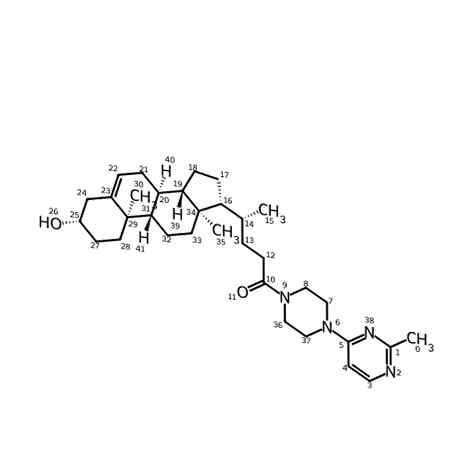 Cc1nccc(N2CCN(C(=O)CC[C@@H](C)[C@H]3CC[C@H]4[C@@H]5CC=C6C[C@@H](O)CC[C@]6(C)[C@H]5CC[C@]34C)CC2)n1